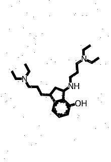 CCN(CC)CCCNC1CC(CCCN(CC)CC)c2cccc(O)c21